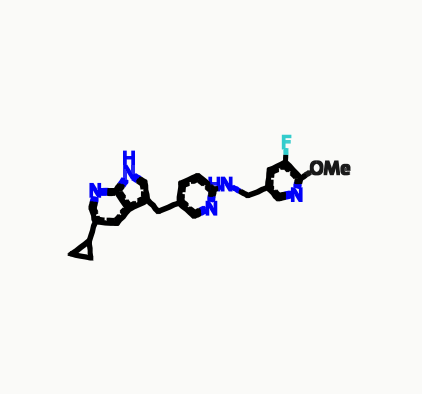 COc1ncc(CNc2ccc(Cc3c[nH]c4ncc(C5CC5)cc34)cn2)cc1F